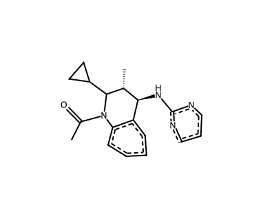 CC(=O)N1c2ccccc2[C@H](Nc2ncccn2)[C@@H](C)C1C1CC1